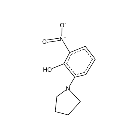 O=[N+]([O-])c1cccc(N2CCCC2)c1O